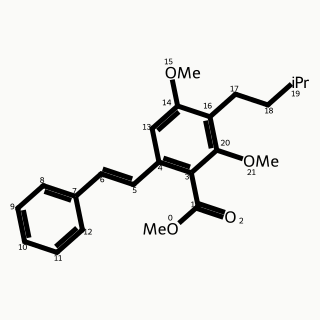 COC(=O)c1c(/C=C/c2ccccc2)cc(OC)c(CCC(C)C)c1OC